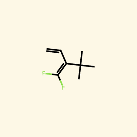 C=CC(=C(F)F)C(C)(C)C